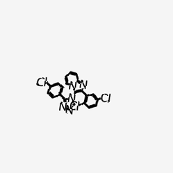 Clc1ccc(-c2nncn2-c2c(-c3cc(Cl)ccc3Cl)nc3ccccn23)cc1